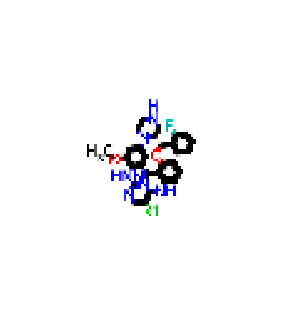 COc1cc(N2CCNCC2)ccc1Nc1ncc(Cl)c(Nc2cccc(OCc3ccccc3F)c2C#N)n1